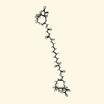 C=C1C(=O)O[C@H]2[C@H]1CC/C(COC(=O)CCC(=O)NCCCCCCCCCNC(=O)CCC(=O)OC/C1=C/CC[C@@]3(C)O[C@H]3[C@H]3OC(=O)C(=C)[C@@H]3CC1)=C\CC[C@@]1(C)O[C@@H]21